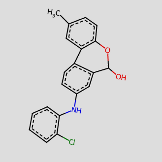 Cc1ccc2c(c1)-c1ccc(Nc3ccccc3Cl)cc1C(O)O2